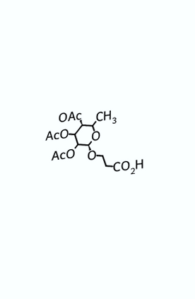 CC(=O)OC1C(OC(C)=O)[C@@H](OC(C)=O)C(C)O[C@H]1OCCC(=O)O